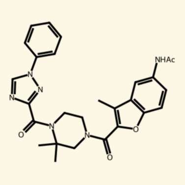 CC(=O)Nc1ccc2oc(C(=O)N3CCN(C(=O)c4ncn(-c5ccccc5)n4)C(C)(C)C3)c(C)c2c1